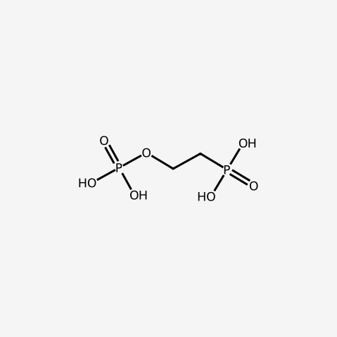 O=P(O)(O)CCOP(=O)(O)O